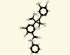 NC(=O)C1(c2cc(Cl)c(F)c(C(=O)Nc3ccccc3)c2)C(c2ccc(F)c(Cl)c2)C1(Cl)Cl